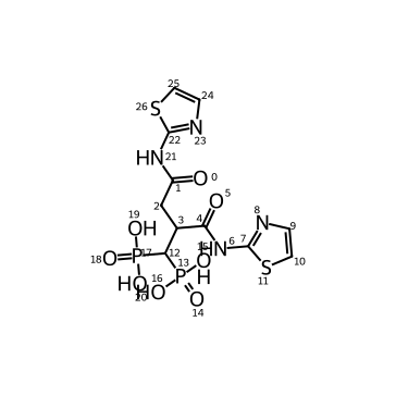 O=C(CC(C(=O)Nc1nccs1)C(P(=O)(O)O)P(=O)(O)O)Nc1nccs1